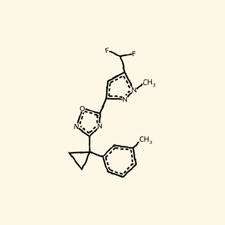 Cc1cccc(C2(c3noc(-c4cc(C(F)F)n(C)n4)n3)CC2)c1